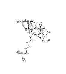 C=C[C@@]12CCc3cc(O)ccc3[C@H]1[C@@H](CCCCCCC(O)C(F)(F)F)C[C@@]1(C)[C@H]2CC[C@@H]1O